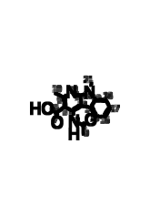 CC(=O)Nc1c(C(=O)O)c(C)nc2c1c1ccccc1n2C